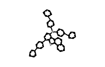 c1ccc(-c2ccc(-c3ccc(N(c4ccc(-c5ccccc5)cc4)c4ccc(-c5ccccc5)cc4)c4c3sc3c5ccccc5ccc34)cc2)cc1